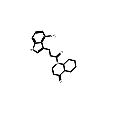 Cc1cccc2[nH]cc(CCC(=O)N3CCC(=O)C4CCCCC43)c12